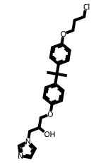 CC(C)(c1ccc(OCCCCl)cc1)c1ccc(OCC(O)Cn2ccnc2)cc1